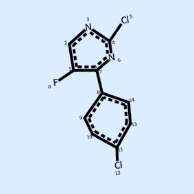 Fc1cnc(Cl)nc1-c1ccc(Cl)cc1